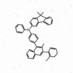 CC1=C(c2cc3ccccc3c(-c3ccc(N(c4ccccc4)c4ccc5c(c4)-c4ccccc4C5(C)C)cc3)c2C)C=CCC1